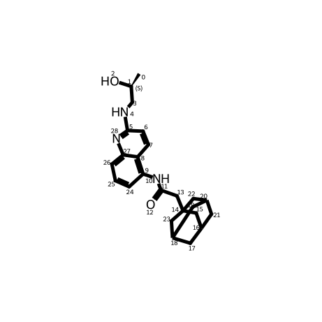 C[C@H](O)CNc1ccc2c(NC(=O)CC34CC5CC(CC(C5)C3)C4)cccc2n1